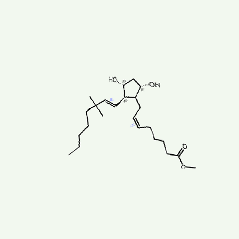 CCCCCC(C)(C)/C=C/[C@@H]1C(C/C=C\CCCCC(=O)OC)[C@@H](O)C[C@H]1O